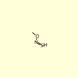 CON=[SiH]